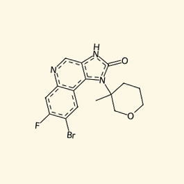 CC1(n2c(=O)[nH]c3cnc4cc(F)c(Br)cc4c32)CCCOC1